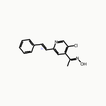 CC(=NO)c1cc(/C=C/c2ccccc2)ncc1Cl